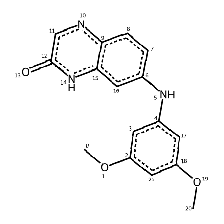 COc1cc(Nc2ccc3ncc(=O)[nH]c3c2)cc(OC)c1